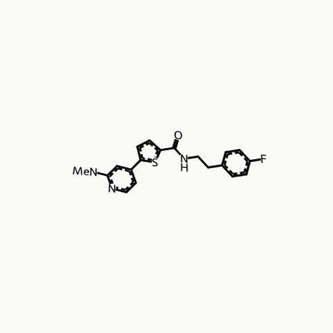 CNc1cc(-c2ccc(C(=O)NCCc3ccc(F)cc3)s2)ccn1